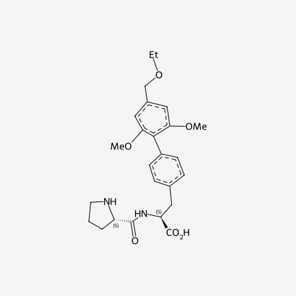 CCOCc1cc(OC)c(-c2ccc(C[C@H](NC(=O)[C@@H]3CCCN3)C(=O)O)cc2)c(OC)c1